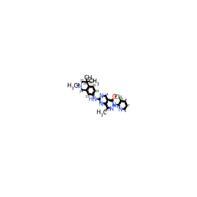 Cc1nn(-c2ncccc2Cl)c(=O)c2cnc(Nc3ccc4c(c3)CN(C)CC4(C)C)nc12